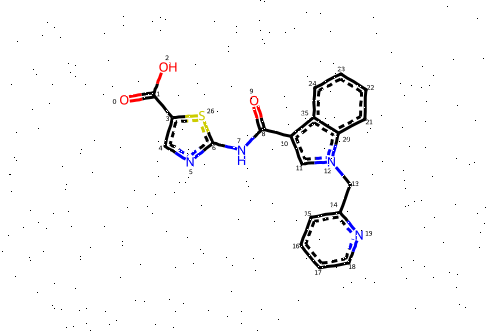 O=C(O)c1cnc(NC(=O)c2cn(Cc3ccccn3)c3ccccc23)s1